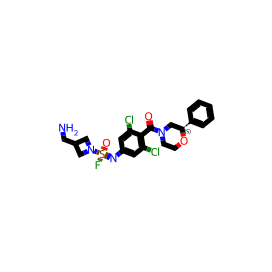 NCC1CN(S(=O)(F)=Nc2cc(Cl)c(C(=O)N3CCO[C@@H](c4ccccc4)C3)c(Cl)c2)C1